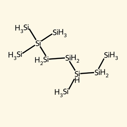 [SiH3][SiH2][SiH]([SiH3])[SiH2][SiH2][Si]([SiH3])([SiH3])[SiH3]